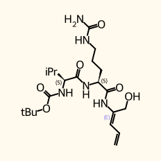 C=C/C=C(\CO)NC(=O)[C@H](CCCNC(N)=O)NC(=O)[C@@H](NC(=O)OC(C)(C)C)C(C)C